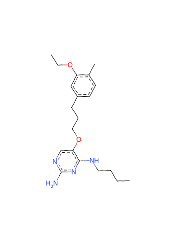 CCCCNc1nc(N)ncc1OCCCc1ccc(C)c(OCC)c1